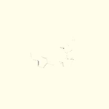 COc1ccc(COC(=O)[C@@H]2N3C(=O)[C@H](O)[C@H]3SC2(C)C)cc1